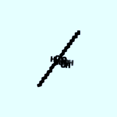 CCCCCCCCCCCCCCCCOCCCCCCCCCCCCCCCC.O.O=P(O)(O)O